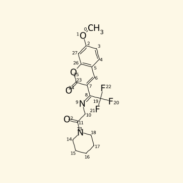 COc1ccc2cc(/C(=N/CC(=O)N3CCCCC3)C(F)(F)F)c(=O)oc2c1